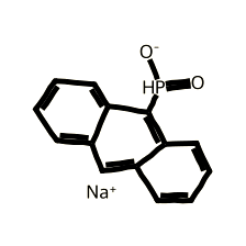 O=[PH]([O-])c1c2ccccc2cc2ccccc12.[Na+]